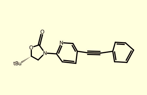 CC(C)(C)[C@H]1CN(c2ccc(C#Cc3ccccc3)cn2)C(=O)O1